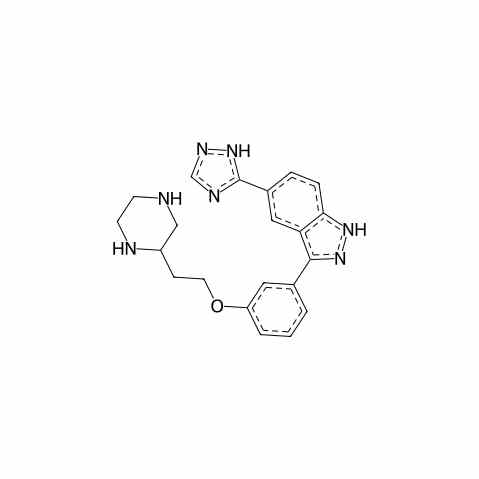 c1cc(OCCC2CNCCN2)cc(-c2n[nH]c3ccc(-c4ncn[nH]4)cc23)c1